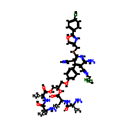 CC(NC(=O)[C@@H](C)N)C(=O)O[C@@H](COC(=O)[C@@H](C)NC(=O)[C@@H](C)N)COc1ccc(-c2c(C#N)c(N)nc(SCc3coc(-c4ccc(Cl)cc4)n3)c2C#N)cc1.Cl.Cl